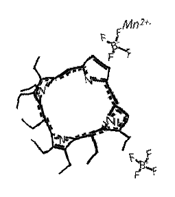 CCC1=C(CC)c2nc1c(CC)c1[nH]c(cc3nc(cc4c(CC)c(CC)c(c2CC)n4CC)C=C3)cc1CC.F[B-](F)(F)F.F[B-](F)(F)F.[Mn+2]